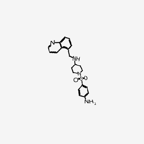 Nc1ccc(S(=O)(=O)N2CCC(NCc3cccc4ncccc34)CC2)cc1